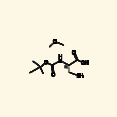 CC(C)(C)OC(=O)N[C@@H](CS)C(=O)O.COC